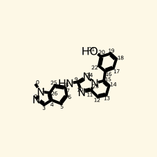 Cn1ncc2ccc(Nc3nc4cccc(-c5cccc(O)c5)n4n3)cc21